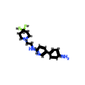 Nc1ccc(-c2ccc(NCCN3CCC(F)(F)CC3)nc2)cc1